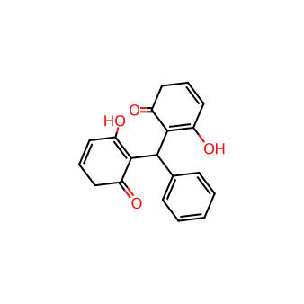 O=C1CC=CC(O)=C1C(C1=C(O)C=CCC1=O)c1ccccc1